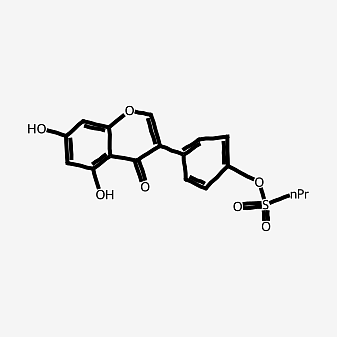 CCCS(=O)(=O)Oc1ccc(-c2coc3cc(O)cc(O)c3c2=O)cc1